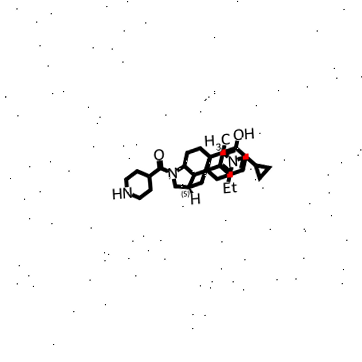 CCc1ccc(O)cc1C12CCN(CC3CC3)C(C)C13CCC1C2[C@@H](CN1C(=O)C1CCNCC1)C3